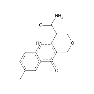 Cc1ccc2[nH]c3c(c(=O)c2c1)COCC3C(N)=O